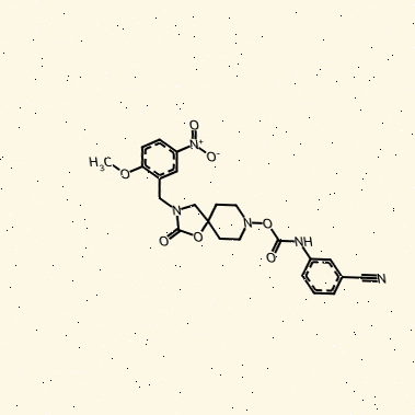 COc1ccc([N+](=O)[O-])cc1CN1CC2(CCN(OC(=O)Nc3cccc(C#N)c3)CC2)OC1=O